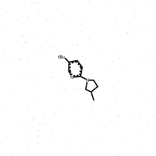 CC1CCN(c2ccc(C(C)(C)C)cn2)C1